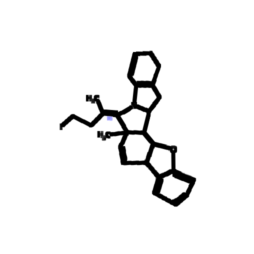 C/C(CCI)=C1\N2C3=C(CCC=C3)CC2C2C3Oc4ccccc4C3C=CC12C